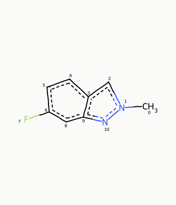 Cn1cc2c[c]c(F)cc2n1